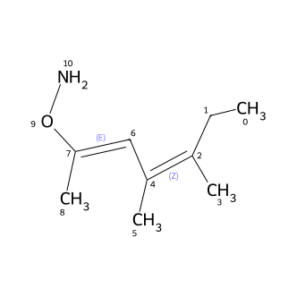 CC/C(C)=C(C)\C=C(/C)ON